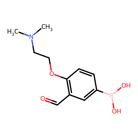 CN(C)CCOc1ccc(B(O)O)cc1C=O